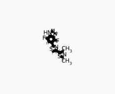 Cc1nc(C)c(-c2csc(-c3cc(F)c4[nH]nnc4c3F)n2)s1